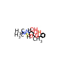 C[C@H](OCc1ccccc1F)[C@H]1O[C@@H]2SC(N(C)C)=N[C@@H]2[C@@H](O)[C@@H]1O